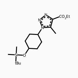 CCOC(=O)c1nnn(C2CCC(O[Si](C)(C)C(C)(C)C)CC2)c1C